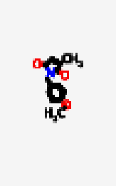 COc1ccc(CN2C(=O)C=C(C)C2=O)cc1